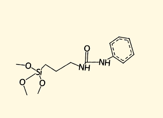 CO[Si](CCCNC(=O)Nc1ccccc1)(OC)OC